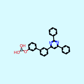 OB(O)Oc1cccc(-c2cccc(-c3cc(-c4ccccc4)nc(-c4ccccc4)n3)c2)c1